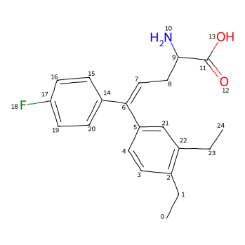 CCc1ccc(/C(=C\CC(N)C(=O)O)c2ccc(F)cc2)cc1CC